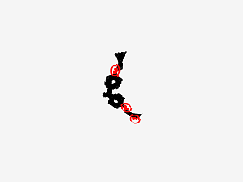 CC(c1ccc(OCC2CC2)cc1)c1ccc(OCC2CO2)cc1